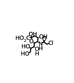 O=C(CCl)N[C@H]1C([C@H](O)C(O)CO)OC(O)(C(=O)O)C[C@H]1O